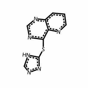 c1cnc2c(Sc3nnc[nH]3)ncnc2c1